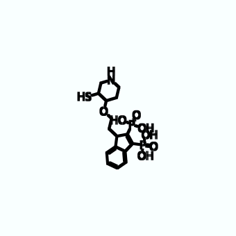 O=P(O)(O)C1=C(P(=O)(O)O)C(CCOC2CCNCC2S)c2ccccc21